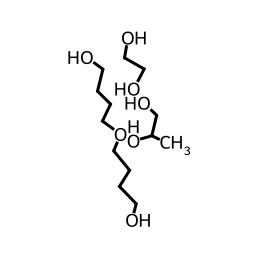 CC(O)CO.OCCCCOCCCCO.OCCO